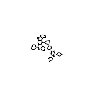 Cc1ccc(-c2nc(-c3ccc(C)cc3)nc(-c3ccc(-c4cccc(-c5c6c(cc7c(-c8ccccc8)nc8ccccc8c57)oc5ccccc56)c4)cc3)n2)cc1